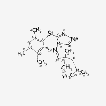 Cc1cc(C)c(Sc2nncn2/N=C\C(C)(C)CN(C)C)cc1C